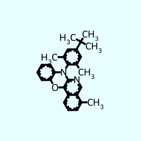 Cc1cc(C(C)(C)C)cc(C)c1N1c2ccccc2Oc2c1ncc1c(C)cccc21